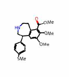 COC(=O)c1c2c(cc(OC)c1OC)C(c1ccc(SC)cc1)CNCC2